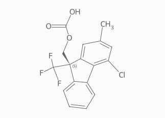 Cc1cc(Cl)c2c(c1)[C@@](COC(=O)O)(C(F)(F)F)c1ccccc1-2